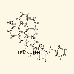 CN(C(=O)NCc1ccccc1)N1CC(=O)N2[C@@H](Cc3ccc(O)cc3)C(=O)N(Cc3ccc4cccnc4c3)C[C@@H]21